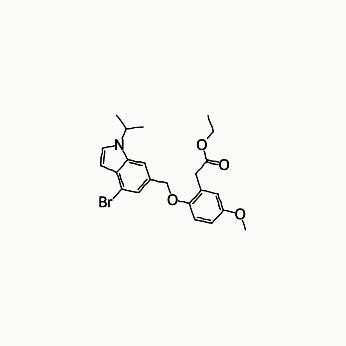 CCOC(=O)Cc1cc(OC)ccc1OCc1cc(Br)c2ccn(C(C)C)c2c1